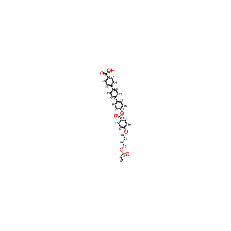 C=CC(=O)OCCCCOc1ccc(C(=O)Oc2ccc(-c3ccc(-c4ccc(C(=O)O)cc4)cc3)cc2)cc1